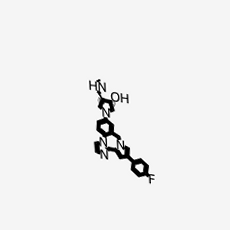 CNC[C@@H]1CN(c2ccc3c(c2)Cn2cc(-c4ccc(F)cc4)cc2-c2nccn2-3)C[C@@H]1O